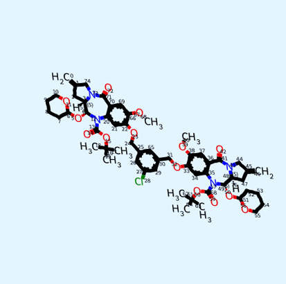 C=C1C[C@H]2[C@H](OC3CCCCO3)N(C(=O)OC(C)(C)C)c3cc(OCc4cc(Cl)cc(COc5cc6c(cc5OC)C(=O)N5CC(=C)C[C@H]5[C@H](OC5CCCCO5)N6C(=O)OC(C)(C)C)c4)c(OC)cc3C(=O)N2C1